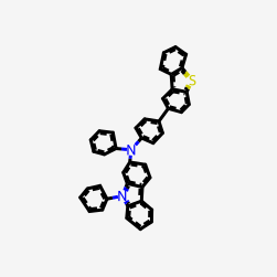 c1ccc(N(c2ccc(-c3ccc4sc5ccccc5c4c3)cc2)c2ccc3c4ccccc4n(-c4ccccc4)c3c2)cc1